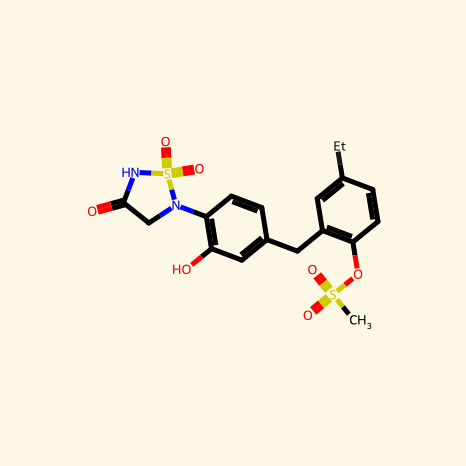 CCc1ccc(OS(C)(=O)=O)c(Cc2ccc(N3CC(=O)NS3(=O)=O)c(O)c2)c1